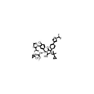 CC(C)(C[C@]1(C2C=CC(c3cnn(C(F)F)c3)=CC2)NC(=N)N([C@H](COC(=O)NC2(C(F)(F)F)CC2)c2ccc(Cl)c(-n3ncnc3C(F)F)c2)C1=O)C1CC1